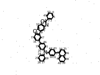 c1ccc(-c2nc3cc4c(cc3o2)oc2ccc(-c3ccc(N(c5ccccc5)c5ccc(-c6cccc7ccccc67)cc5)cc3)cc24)cc1